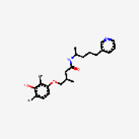 CCCc1c(OCC(C)CC(=O)NC(C)CCCc2cccnc2)ccc(C(C)=O)c1O